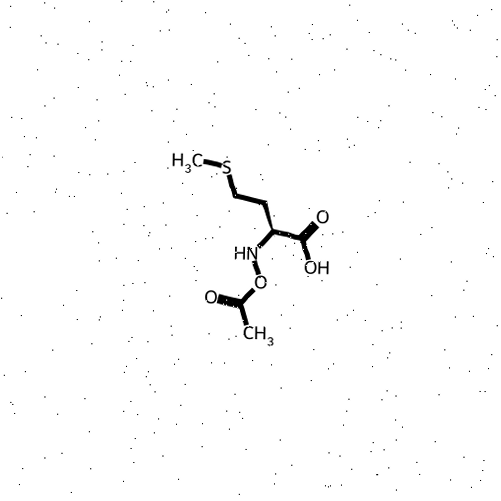 CSCC[C@H](NOC(C)=O)C(=O)O